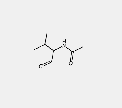 CC(=O)NC([C]=O)C(C)C